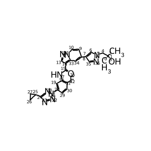 CC(C)(O)Cn1cc(-c2ccn3ncc(C(=O)Nc4cc(-n5nnc(C6CC6)n5)ccc4F)c3c2)cn1